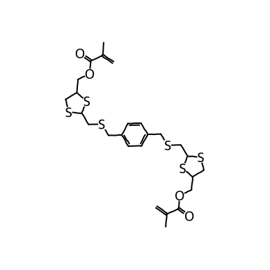 C=C(C)C(=O)OCC1CSC(CSCc2ccc(CSCC3SCC(COC(=O)C(=C)C)S3)cc2)S1